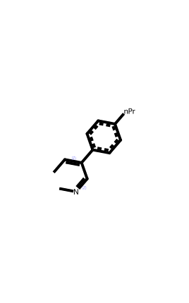 C/C=C(\C=N/C)c1ccc(CCC)cc1